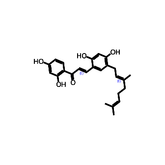 CC(C)=CCC/C(C)=C/Cc1cc(/C=C/C(=O)c2ccc(O)cc2O)c(O)cc1O